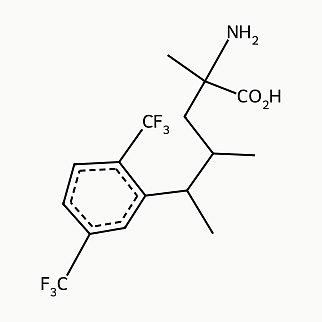 CC(CC(C)(N)C(=O)O)C(C)c1cc(C(F)(F)F)ccc1C(F)(F)F